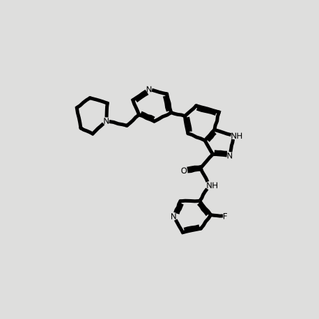 O=C(Nc1cnccc1F)c1n[nH]c2ccc(-c3cncc(CN4CCCCC4)c3)cc12